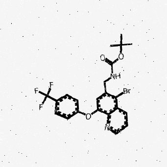 CC(C)(C)OC(=O)NCc1cc(Oc2ccc(C(F)(F)F)cc2)c2ncccc2c1Br